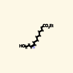 CCOC(=O)CCCCCCC/C=C\CCO